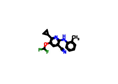 Cc1ccccc1Nc1nc(C2CC2)c(OC(F)F)cc1C#N